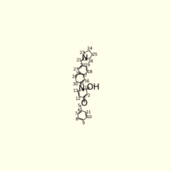 OC1C=C(OCc2ccccc2)C=CN1C1=Cc2ccc(CN3CCCC3)cc2CC1